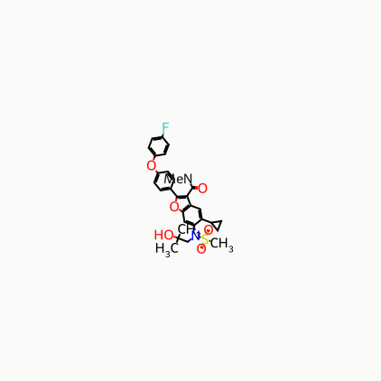 CNC(=O)c1c(-c2ccc(Oc3ccc(F)cc3)cc2)oc2cc(N(CC(C)(C)O)S(C)(=O)=O)c(C3CC3)cc12